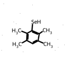 Cc1cc(C)c(C)c([SeH])c1C